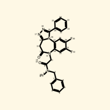 CC(C)N(Cc1ccccc1)C(=O)CN1C(=O)Cc2nnc(-c3ccccc3)n2-c2cc(F)c(F)cc21